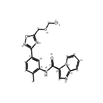 Cc1ccc(-c2noc(COCC(F)(F)F)n2)cc1NC(=O)c1cnc2ccccn12